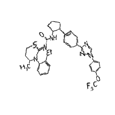 CCc1ccccc1N1/C(=N/C(=O)NC2CCCC2c2ccc(-c3ncn(-c4ccc(OC(F)(F)F)cc4)n3)cc2)SCCC1C